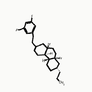 CCC[C@@H]1CC[C@H]2[C@H](CC[C@H]3CC(CCc4cc(F)cc(F)c4)CC[C@@H]32)C1